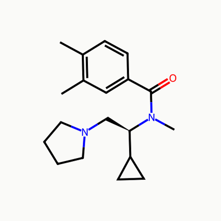 Cc1ccc(C(=O)N(C)[C@H](CN2CCCC2)C2CC2)cc1C